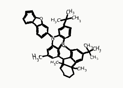 Cc1cc2c3c(c1)N(c1ccc4c(c1)oc1ccccc14)c1cc(C(C)(C)C)ccc1B3c1cc(C(C)(C)C)cc3c1C2C1(C)CCCCC31C